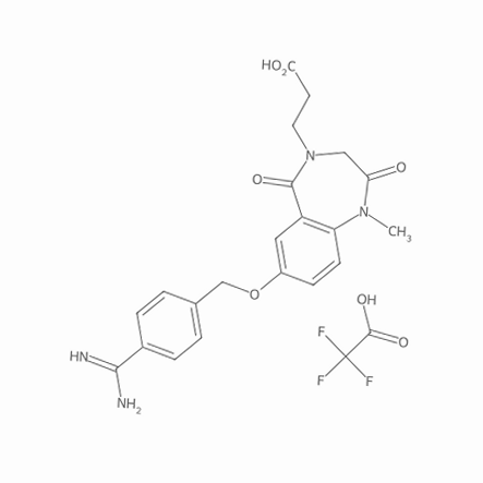 CN1C(=O)CN(CCC(=O)O)C(=O)c2cc(OCc3ccc(C(=N)N)cc3)ccc21.O=C(O)C(F)(F)F